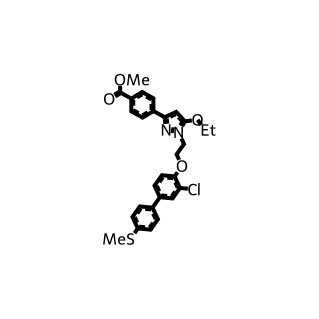 CCOc1cc(-c2ccc(C(=O)OC)cc2)nn1CCOc1ccc(-c2ccc(SC)cc2)cc1Cl